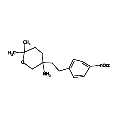 CCCCCCCCc1ccc(CCC2(N)CCC(C)(C)OC2)cc1